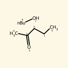 CCCC(C)=O.CCCCO